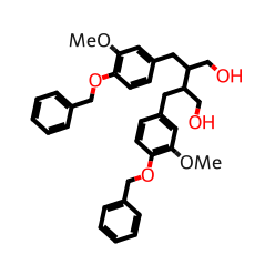 COc1cc(CC(CO)C(CO)Cc2ccc(OCc3ccccc3)c(OC)c2)ccc1OCc1ccccc1